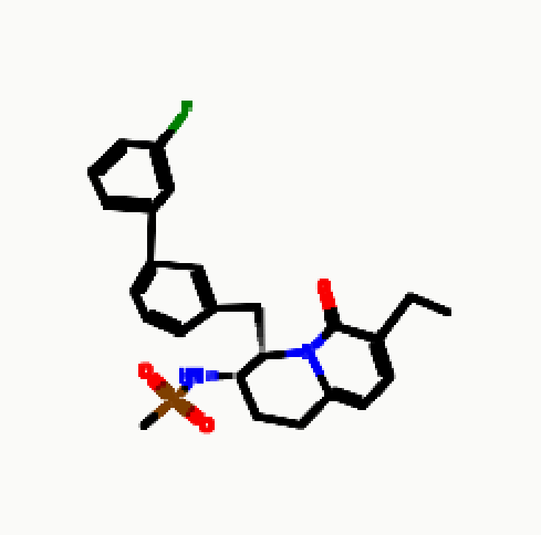 CCc1ccc2n(c1=O)[C@@H](Cc1cccc(-c3cccc(F)c3)c1)[C@@H](NS(C)(=O)=O)CC2